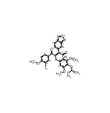 COc1ccc(C(=O)C(Cc2cc(OC)c(OC(C)C)c(OC)c2)=C(C(=O)O)c2ccc3nsnc3c2)cc1F